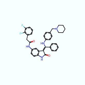 O=C(Cc1cccc(F)c1F)Nc1ccc2c(c1)C(=C(Nc1ccc(CN3CCCCC3)cc1)c1ccccc1)C(=O)N2